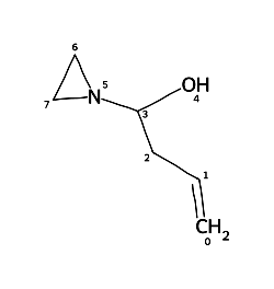 C=CCC(O)N1CC1